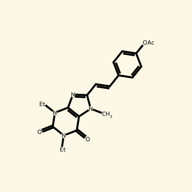 CCn1c(=O)c2c(nc(C=Cc3ccc(OC(C)=O)cc3)n2C)n(CC)c1=O